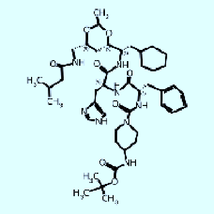 CC(C)CC(=O)NC[C@H]1C[C@@H]([C@H](CC2CCCCC2)NC(=O)[C@H](Cc2c[nH]cn2)NC(=O)[C@H](Cc2ccccc2)NC(=O)N2CCC(NC(=O)OC(C)(C)C)CC2)OC(C)O1